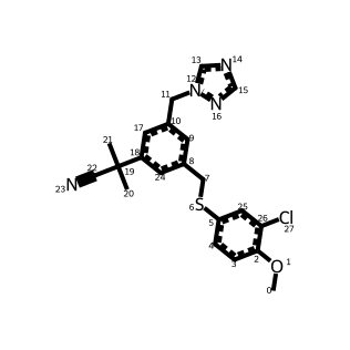 COc1ccc(SCc2cc(Cn3cncn3)cc(C(C)(C)C#N)c2)cc1Cl